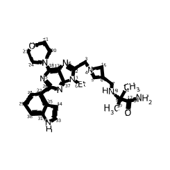 CCn1c(CN2CC(CNC(C)(C)C(N)=O)C2)nc2c(N3CCOCC3)nc(-c3cccc4[nH]ccc34)nc21